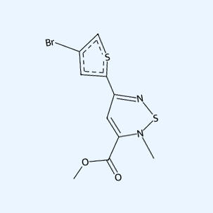 COC(=O)C1=CC(c2cc(Br)cs2)=NSN1C